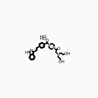 Cl.Cl.O=C(CN(CCO)CCO)N1CCN(C(=O)c2ccc(/C=C/c3n[nH]c4ccccc34)cc2)CC1